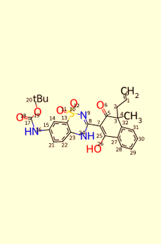 C=CCC1(C)C(=O)C(C2=NS(=O)(=O)c3cc(NC(=O)OC(C)(C)C)ccc3N2)=C(O)c2ccccc21